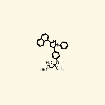 CC(C)(C)OCC(C)(C)Oc1ccc(C2CC(c3cccc4ccccc34)=NN2c2ccccc2)cc1